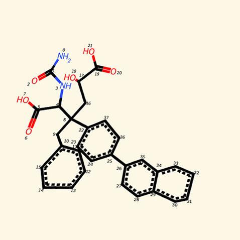 NC(=O)NC(C(=O)O)C(Cc1ccccc1)(CC(O)C(=O)O)c1ccc(-c2ccc3ccccc3c2)cc1